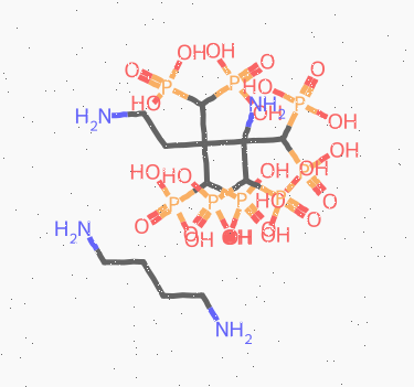 NCCC(C(P(=O)(O)O)P(=O)(O)O)(C(P(=O)(O)O)P(=O)(O)O)C(N)(C(P(=O)(O)O)P(=O)(O)O)C(P(=O)(O)O)P(=O)(O)O.NCCCCN